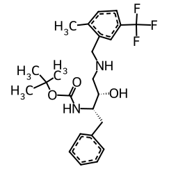 Cc1ccc(C(F)(F)F)cc1CNC[C@H](O)[C@H](Cc1ccccc1)NC(=O)OC(C)(C)C